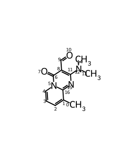 Cc1cccn2c(=O)c(C=O)c(N(C)C)nc12